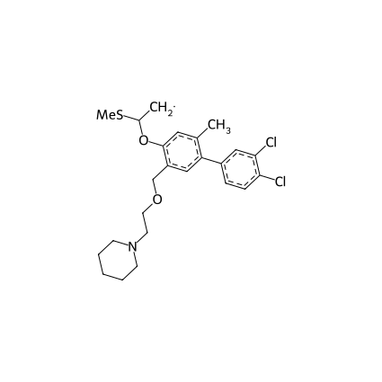 [CH2]C(Oc1cc(C)c(-c2ccc(Cl)c(Cl)c2)cc1COCCN1CCCCC1)SC